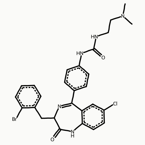 CN(C)CCNC(=O)Nc1ccc(C2=NC(Cc3ccccc3Br)C(=O)Nc3ccc(Cl)cc32)cc1